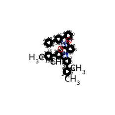 Cc1ccc(-c2ccc3c(c2)c2cc(-c4ccc(C)cc4C)ccc2n3-c2cccc3c2C(=O)N(c2cc(-c4ccccc4)ccc2-c2ccccc2)C3=O)c(C)c1